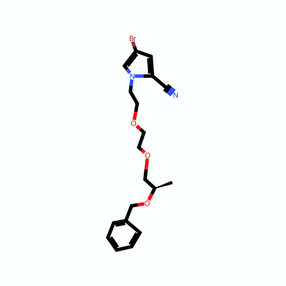 C[C@H](COCCOCCn1cc(Br)cc1C#N)OCc1ccccc1